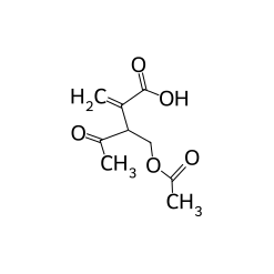 C=C(C(=O)O)C(COC(C)=O)C(C)=O